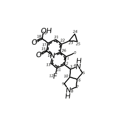 Cc1c(C2NCC3CNCC32)c(F)cn2c(=O)c(C(=O)O)cc(C3CC3)c12